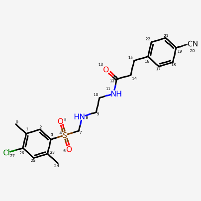 Cc1cc(S(=O)(=O)CNCCNC(=O)CCc2ccc(C#N)cc2)c(C)cc1Cl